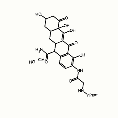 CCCCCNCC(=O)Nc1ccc2c(c1O)C(=O)C1=C(O)C3(O)C(=O)CC(O)CC3CC1C2C(N)=O.Cl.Cl